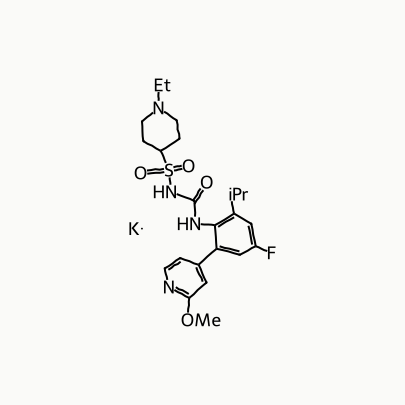 CCN1CCC(S(=O)(=O)NC(=O)Nc2c(-c3ccnc(OC)c3)cc(F)cc2C(C)C)CC1.[K]